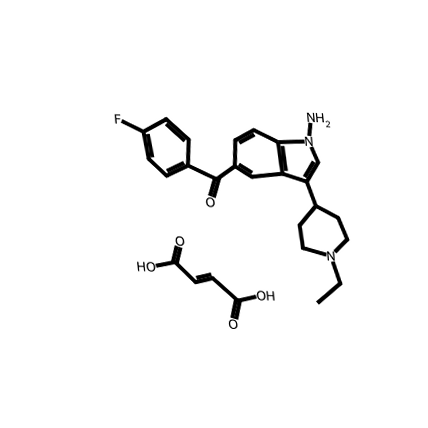 CCN1CCC(c2cn(N)c3ccc(C(=O)c4ccc(F)cc4)cc23)CC1.O=C(O)C=CC(=O)O